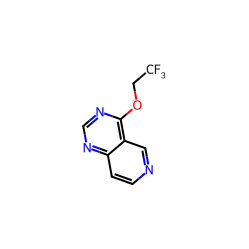 FC(F)(F)COc1ncnc2ccncc12